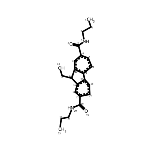 CCCNC(=O)c1ccc2c(c1)C(CO)c1cc(C(=O)NCCC)ccc1-2